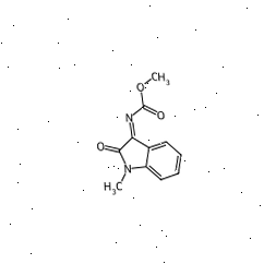 COC(=O)/N=C1/C(=O)N(C)c2ccccc21